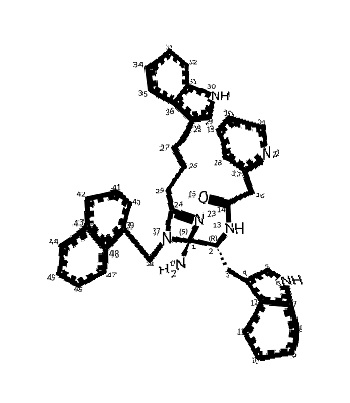 N[C@]1([C@@H](Cc2c[nH]c3ccccc23)NC(=O)Cc2ccccn2)N=C(CCCc2c[nH]c3ccccc23)N1Cc1cccc2ccccc12